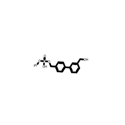 CC(C)OP(=O)(O)OCc1ccc(-c2cccc(CO)c2)cc1